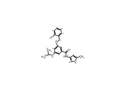 Cc1cc(NC(=O)c2cc(OCc3ccccc3F)cc(OC(C)C)c2)no1